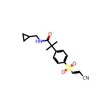 CC(C)(C(=O)NCC1CC1)c1ccc(S(=O)(=O)/C=C/C#N)cc1